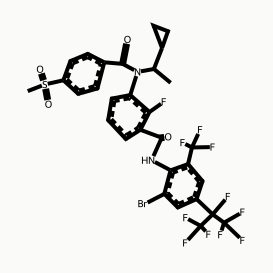 CC(C1CC1)N(C(=O)c1ccc(S(C)(=O)=O)cc1)c1cccc(C(=O)Nc2c(Br)cc(C(F)(C(F)(F)F)C(F)(F)F)cc2C(F)(F)F)c1F